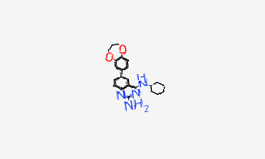 Nc1nc(NC2CCCCC2)c2cc(-c3ccc4c(c3)OCCCO4)ccc2n1